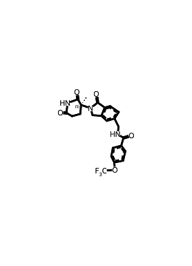 C[C@]1(N2Cc3cc(CNC(=O)c4ccc(OC(F)(F)F)cc4)ccc3C2=O)CCC(=O)NC1=O